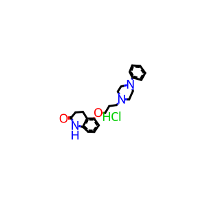 Cl.O=C1CCc2c(cccc2OCCCN2CCN(c3ccccc3)CC2)N1